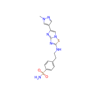 Cn1cc(-c2cn3sc(NCCc4ccc(S(N)(=O)=O)cc4)nc3n2)cn1